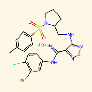 Cc1ccc(S(=O)(=O)N2CCCC2CNc2nonc2/C(=N/O)Nc2ccc(F)c(Br)c2)cc1